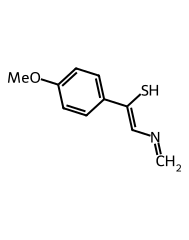 C=N/C=C(\S)c1ccc(OC)cc1